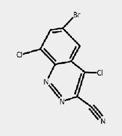 N#Cc1nnc2c(Cl)cc(Br)cc2c1Cl